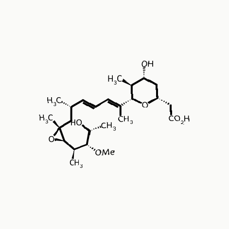 CO[C@H]([C@@H](C)[C@H]1O[C@]1(C)C[C@H](C)/C=C/C=C(\C)[C@H]1O[C@@H](CC(=O)O)C[C@@H](O)[C@@H]1C)[C@@H](C)O